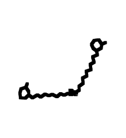 CC1CCCCC(CCCCCCCCCC[CH2][Be][CH2]CCCCCCCCCCC2CCCCC(C)C2)C1